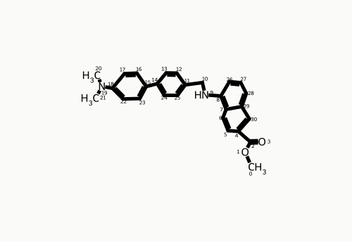 COC(=O)c1ccc2c(NCc3ccc(-c4ccc(N(C)C)cc4)cc3)cccc2c1